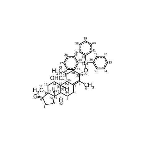 CC1=C2CC[C@H]3[C@@H]4CCC(=O)[C@@]4(C)CC[C@@H]3[C@@]2(C=O)C(C)C[C@@H]1O[Si](c1ccccc1)(c1ccccc1)c1ccccc1